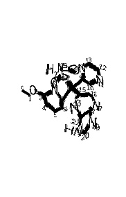 CCOc1cccc(C(c2cnccn2)(c2cnc3nc[nH]c3n2)S(N)(=O)=O)n1